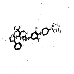 CN(C)C1CCN(c2c(F)cc(Nc3ncc(C(F)(F)F)c(N4OCCC4c4ccccc4)n3)cc2F)CC1